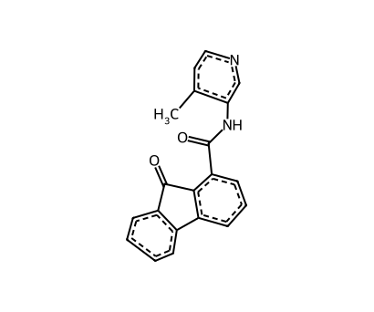 Cc1ccncc1NC(=O)c1cccc2c1C(=O)c1ccccc1-2